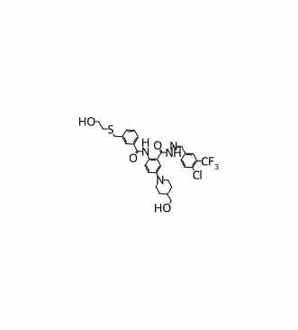 O=C(Nc1ccc(N2CCC(CO)CC2)cc1C(=O)N/N=C\c1ccc(Cl)c(C(F)(F)F)c1)c1cccc(CSCCO)c1